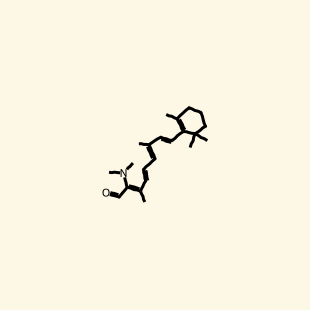 CC(C=CC1=C(C)CCCC1(C)C)=CC=CC(C)=C(C=O)N(C)C